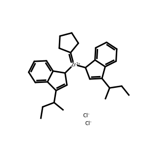 CCC(C)C1=C[CH]([Zr+2](=[C]2CCCC2)[CH]2C=C(C(C)CC)c3ccccc32)c2ccccc21.[Cl-].[Cl-]